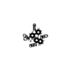 C.O=C=Nc1ccc(-c2ccccc2N=C=O)cc1.O=C=Nc1cccc2c(N=C=O)cccc12